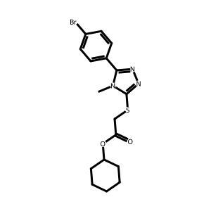 Cn1c(SCC(=O)OC2CCCCC2)nnc1-c1ccc(Br)cc1